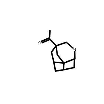 CC(=O)C12CC3CC4CN(C1)CC43C2